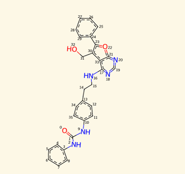 O=C(Nc1ccccc1)Nc1ccc(CCNc2ncnc3oc(-c4ccccc4)c(CO)c23)cc1